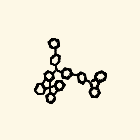 C1=CC2=C(CC1)C1(c3cc(N(c4ccc(-c5ccc(-n6c7ccccc7c7ccccc76)cc5)cc4)C4C=CC(c5ccccc5)=CC4)ccc32)c2ccccc2-c2ccccc21